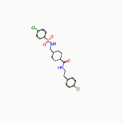 O=C(NCCc1ccc(Cl)cc1)C1CCC(CNS(=O)(=O)c2ccc(Cl)cc2)CC1